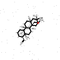 CCC[C@]12CC[C@@](C)(O)C[C@H]1CC[C@H]1[C@@H]3CCC[C@H](C=O)[C@@]3(C)CC[C@@H]12